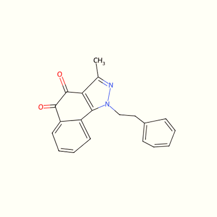 Cc1nn(CCc2ccccc2)c2c1C(=O)C(=O)c1ccccc1-2